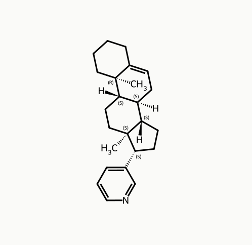 C[C@]12CC[C@H]3[C@@H](CC=C4CCCC[C@@]43C)[C@@H]1CC[C@@H]2c1cccnc1